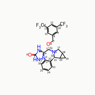 O=c1[nH]nc([C@H](OCc2cc(C(F)(F)F)cc(C(F)(F)F)c2)N2CC3CC3[C@H]2c2ccccc2)[nH]1